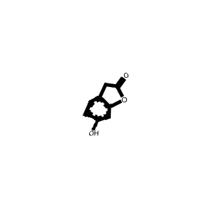 O=C1Cc2ccc(O)cc2O1